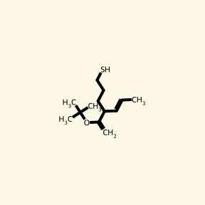 C=C(OC(C)(C)C)C(C=CC)CCCS